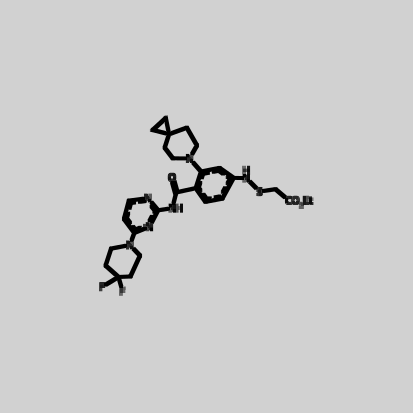 CCOC(=O)CSNc1ccc(C(=O)Nc2nccc(N3CCC(F)(F)CC3)n2)c(N2CCC3(CC2)CC3)c1